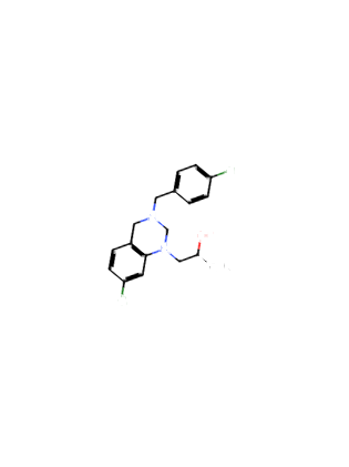 C[C@H](O)CN1CN(Cc2ccc(Cl)cc2)Cc2ccc(Cl)cc21